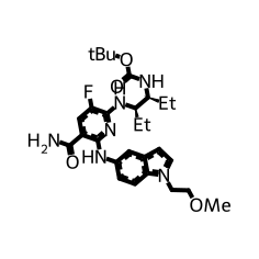 CC[C@H](NC(=O)OC(C)(C)C)[C@@H](CC)Nc1nc(Nc2ccc3c(ccn3CCOC)c2)c(C(N)=O)cc1F